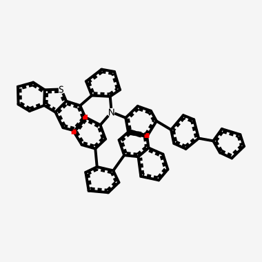 c1ccc(-c2ccc(-c3ccc(N(c4cccc(-c5ccccc5-c5cccc6ccccc56)c4)c4ccccc4-c4cccc5c4sc4ccccc45)cc3)cc2)cc1